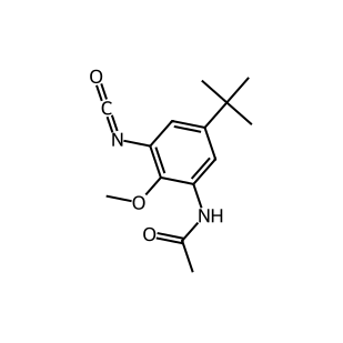 COc1c(N=C=O)cc(C(C)(C)C)cc1NC(C)=O